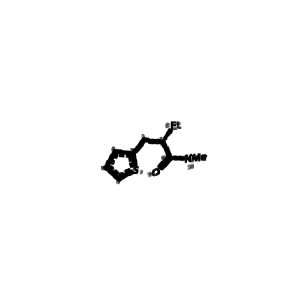 CC[C@H](Cc1cccs1)C(=O)NC